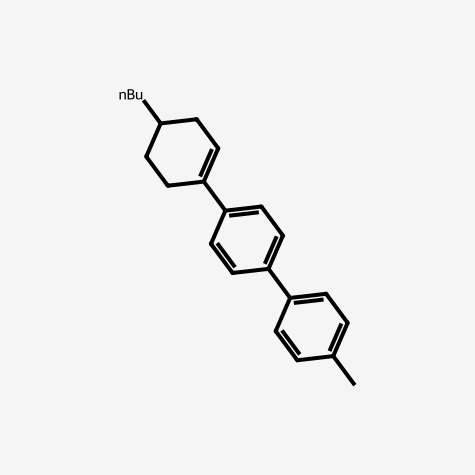 CCCCC1CC=C(c2ccc(-c3ccc(C)cc3)cc2)CC1